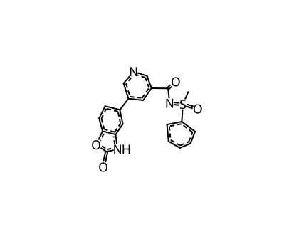 CS(=O)(=NC(=O)c1cncc(-c2ccc3oc(=O)[nH]c3c2)c1)c1ccccc1